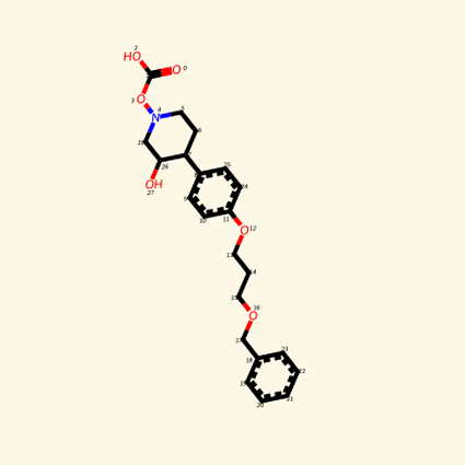 O=C(O)ON1CCC(c2ccc(OCCCOCc3ccccc3)cc2)C(O)C1